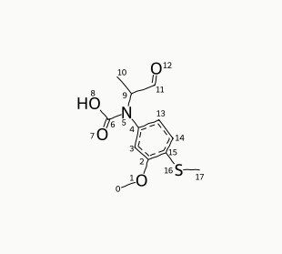 COc1cc(N(C(=O)O)C(C)C=O)ccc1SC